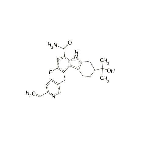 C=Cc1ccc(Cc2c(F)cc(C(N)=O)c3[nH]c4c(c23)CCC(C(C)(C)O)C4)cn1